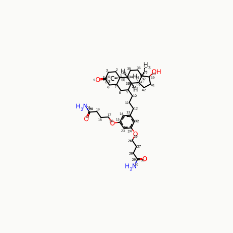 C[C@]12CCC(=O)CC1CC(CCCc1cc(OCCCC(N)=O)cc(OCCCC(N)=O)c1)[C@@H]1[C@H]2CC[C@]2(C)C(O)CC[C@@H]12